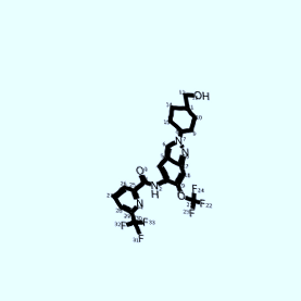 O=C(Nc1cc2cn(C3CCC(CO)CC3)nc2cc1OC(F)(F)F)c1cccc(C(F)(F)F)n1